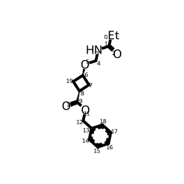 CCC(=O)NCO[C@H]1C[C@@H](C(=O)OCc2ccccc2)C1